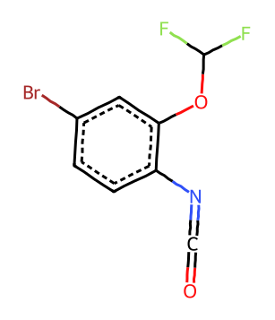 O=C=Nc1ccc(Br)cc1OC(F)F